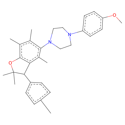 COc1ccc(N2CCN(c3c(C)c(C)c4c(c3C)C(c3ccc(C)cc3)C(C)(C)O4)CC2)cc1